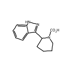 O=C(O)N1CCCCC1c1n[nH]c2ccccc12